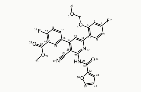 COCOc1cc(F)ccc1-c1cc(-c2ccc(F)c(C(=O)OC)c2)c(C#N)c(NC(=O)c2ccco2)n1